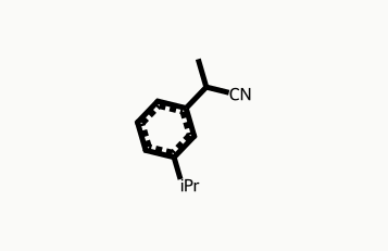 CC(C)c1cccc(C(C)C#N)c1